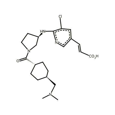 CN(C)C[C@H]1CC[C@H](C(=O)N2CC[C@@H](Nc3ncc(C=CC(=O)O)cc3Cl)C2)CC1